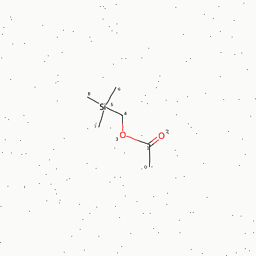 [CH2]C(=O)OC[Si](C)(C)C